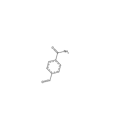 NC(=O)c1ccc([C]=O)cc1